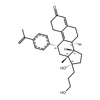 C=C(C)c1ccc([C@H]2C[C@]3(C)[C@@H](CC[C@@]3(O)CCCO)[C@@H]3CCC4=CC(=O)CCC4=C32)cc1